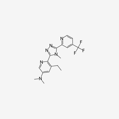 CCc1cc(N(C)C)cnc1-c1nnc(-c2cc(C(F)(F)F)ccn2)n1C